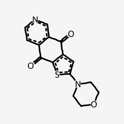 O=C1c2cnccc2C(=O)c2sc(N3CCOCC3)cc21